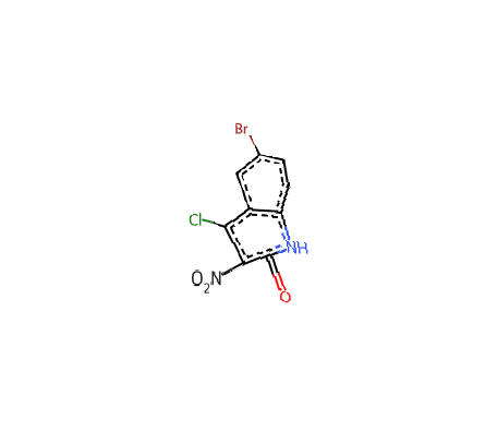 O=c1[nH]c2ccc(Br)cc2c(Cl)c1[N+](=O)[O-]